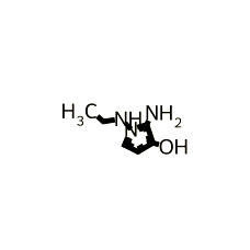 CCNn1ccc(O)c1N